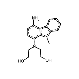 Cn1c2ccccc2c2c(N)ccc(N(CCO)CCO)c21